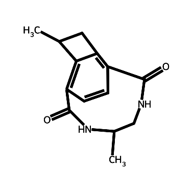 CC1CNC(=O)c2ccc(c3c2CC3C)C(=O)N1